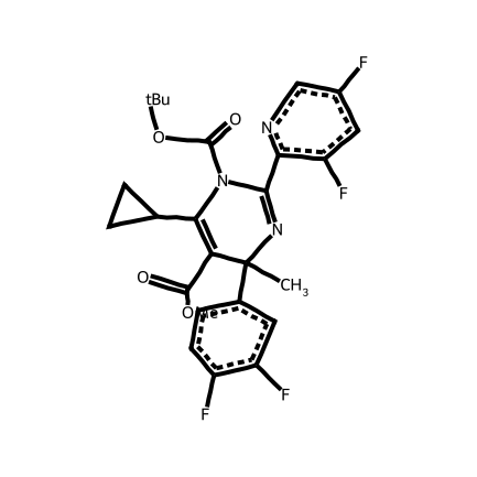 COC(=O)C1=C(C2CC2)N(C(=O)OC(C)(C)C)C(c2ncc(F)cc2F)=NC1(C)c1ccc(F)c(F)c1